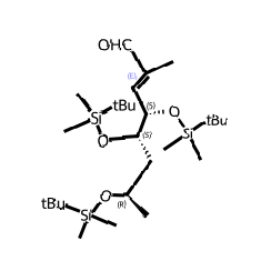 C/C(C=O)=C\[C@H](O[Si](C)(C)C(C)(C)C)[C@H](C[C@@H](C)O[Si](C)(C)C(C)(C)C)O[Si](C)(C)C(C)(C)C